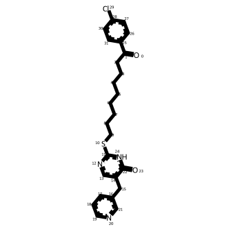 O=C(CCCCCCCCSc1ncc(Cc2cccnc2)c(=O)[nH]1)c1ccc(Cl)cc1